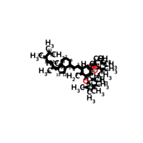 C=C1C(=CC=C2CCC[C@@]3(C)C2CC[C@@H]3[C@H](C)/C=C/[C@H](C)C(C)C)C[C@@](O)(O[Si](C(C)C)(C(C)C)C(C)C)C[C@H]1O[Si](C(C)C)(C(C)C)C(C)C